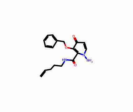 C=CCCCNC(=O)c1c(OCc2ccccc2)c(=O)ccn1N